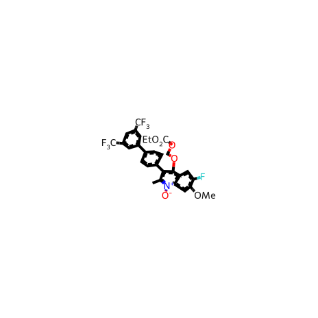 CCOC(=O)OCOc1c(-c2ccc(-c3cc(C(F)(F)F)cc(C(F)(F)F)c3)cc2)c(C)[n+]([O-])c2cc(OC)c(F)cc12